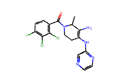 CC1C(N)=C(Nc2cnccn2)CCN1C(=O)c1ccc(F)c(Cl)c1Cl